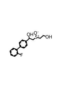 [O-][S+](CCO)CC(O)c1ccc(-c2ccccc2F)cc1